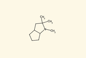 CN1C2CCCC2CC1(C)C